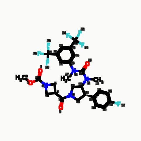 COC(=O)N1CC(C(=O)N2C[C@@H](N(C)C(=O)N(C)c3cc(C(F)(F)F)cc(C(F)(F)F)c3)[C@H](c3ccc(F)cc3)C2)C1